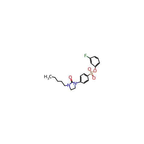 CCCCCN1CCN(c2ccc(S(=O)(=O)Oc3cccc(F)c3)cc2)C1=O